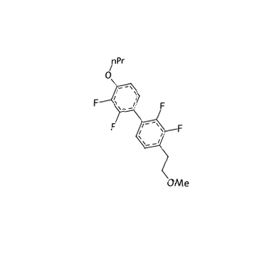 CCCOc1ccc(-c2ccc(CCOC)c(F)c2F)c(F)c1F